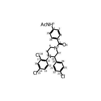 CC(=O)Nc1ccc(C(=O)N2CCN(c3ccc(Cl)cc3Cl)C(c3ccc(Cl)cc3)C2)cc1